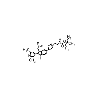 Cc1cc(-c2[nH]c3ccc(C4CCN(CCNC(=O)OC(C)(C)C)CC4)cc3c2CC(F)F)cc(C)n1